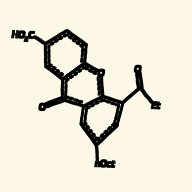 CCCCCCCCc1cc(C(=O)CC)c2oc3ccc(C(=O)O)cc3c(=O)c2c1